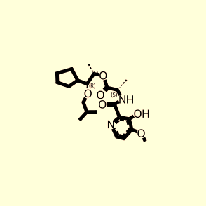 COc1ccnc(C(=O)N[C@@H](C)C(=O)O[C@@H](C)[C@H](OCC(C)C)C2CCCC2)c1O